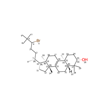 C[C@H](CCC(Br)C(C)(C)C)[C@H]1CC[C@@]2(C)C3=C(CC[C@]12C)[C@@]1(C)CC[C@H](O)C(C)(C)[C@@H]1CC3